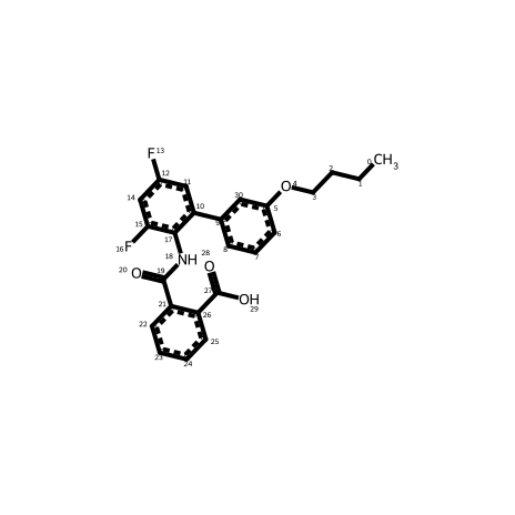 CCCCOc1cccc(-c2cc(F)cc(F)c2NC(=O)c2ccccc2C(=O)O)c1